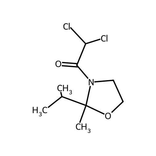 CC(C)C1(C)OCCN1C(=O)C(Cl)Cl